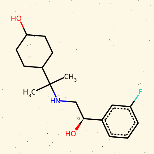 CC(C)(NC[C@H](O)c1cccc(F)c1)C1CCC(O)CC1